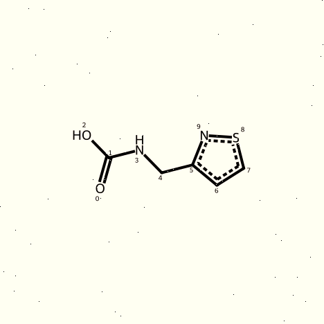 O=C(O)NCc1ccsn1